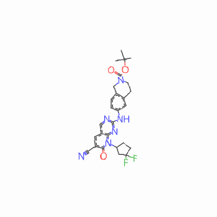 CC(C)(C)OC(=O)N1CCc2cc(Nc3ncc4cc(C#N)c(=O)n(C5CCC(F)(F)C5)c4n3)ccc2C1